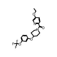 CCOc1ccc(C(=O)N2CCC(Oc3cccc(OC(F)(F)F)c3)CC2)nc1